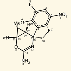 COc1c(F)cc([N+](=O)[O-])cc1[C@@]1(CF)N=C(N)O[C@@H]2C[C@@H]21